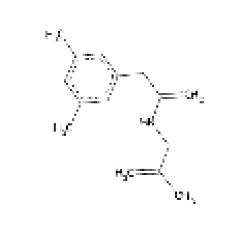 C=C(C)CNC(=C)Cc1cc(C)cc(C)c1